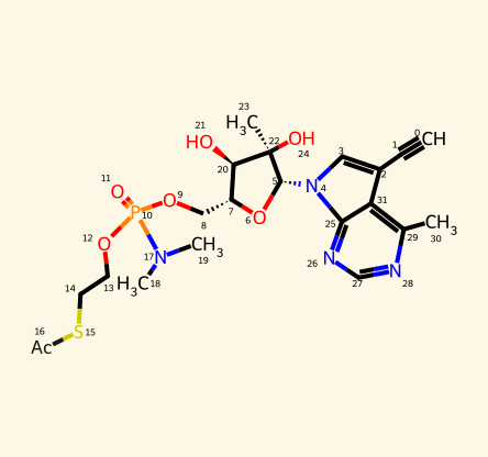 C#Cc1cn([C@@H]2O[C@H](COP(=O)(OCCSC(C)=O)N(C)C)[C@@H](O)[C@@]2(C)O)c2ncnc(C)c12